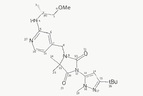 COC[C@@H](C)Nc1cc(CN2C(=O)N(c3cc(C(C)(C)C)nn3C)C(=O)C2(C)C)ccn1